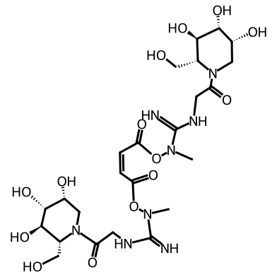 CN(OC(=O)/C=C\C(=O)ON(C)C(=N)NCC(=O)N1C[C@@H](O)[C@@H](O)[C@H](O)[C@H]1CO)C(=N)NCC(=O)N1C[C@@H](O)[C@@H](O)[C@H](O)[C@H]1CO